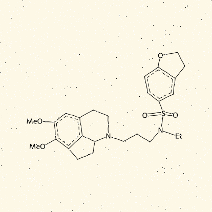 CCN(CCCN1CCc2cc(OC)c(OC)c3c2C1CC3)S(=O)(=O)c1ccc2c(c1)CCO2